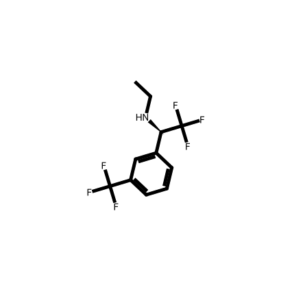 CCN[C@H](c1cccc(C(F)(F)F)c1)C(F)(F)F